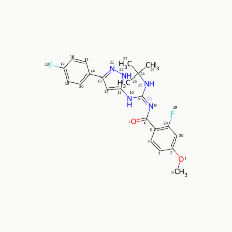 COc1ccc(C(=O)/N=C(\Nc2cc(-c3ccc(F)cc3)n[nH]2)NC(C)(C)C)c(F)c1